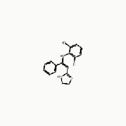 Clc1cccc(Cl)c1NC(=CC1=NCCN1)c1ccccc1